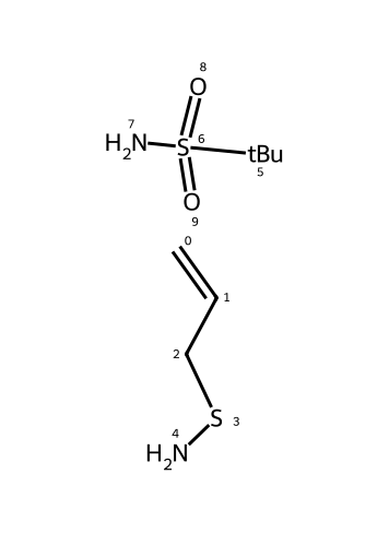 C=CCSN.CC(C)(C)S(N)(=O)=O